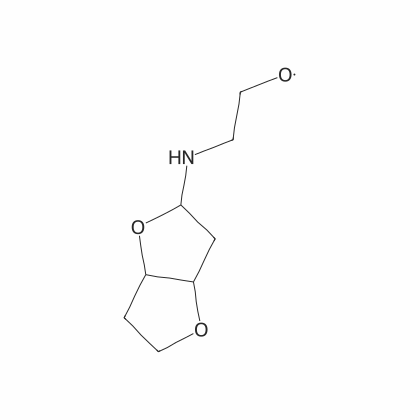 [O]CCNC1CC2OCCC2O1